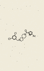 CC(=O)c1ccn(C(=O)N2CCC3(CCN(Cc4cc(Cl)cc(Cl)c4)C3)CC2)n1